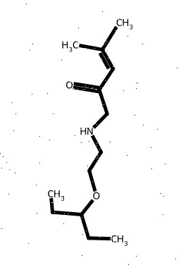 CCC(CC)OCCNCC(=O)C=C(C)C